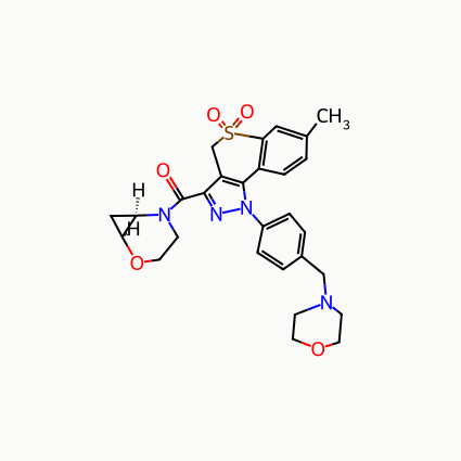 Cc1ccc2c(c1)S(=O)(=O)Cc1c(C(=O)N3CCO[C@H]4C[C@H]43)nn(-c3ccc(CN4CCOCC4)cc3)c1-2